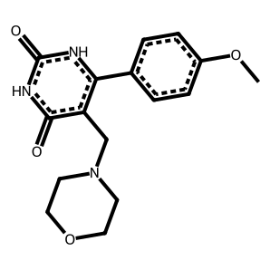 COc1ccc(-c2[nH]c(=O)[nH]c(=O)c2CN2CCOCC2)cc1